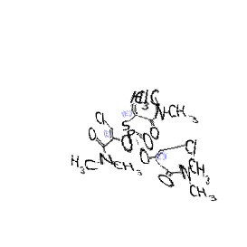 CN(C)C(=O)/C(=C\Cl)OP(=O)(O/C(=C/Cl)C(=O)N(C)C)S/C(=C/Cl)C(=O)N(C)C